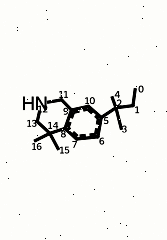 CCC(C)(C)c1ccc2c(c1)CNCC2(C)C